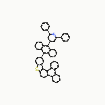 c1ccc(-c2cc(-c3c4ccccc4c(-c4ccc5sc6ccc7c8ccccc8c8ccccc8c7c6c5c4)c4ccccc34)cc(-c3ccccc3)n2)cc1